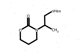 CCCCCCCC(C)N1CCCOC1=O